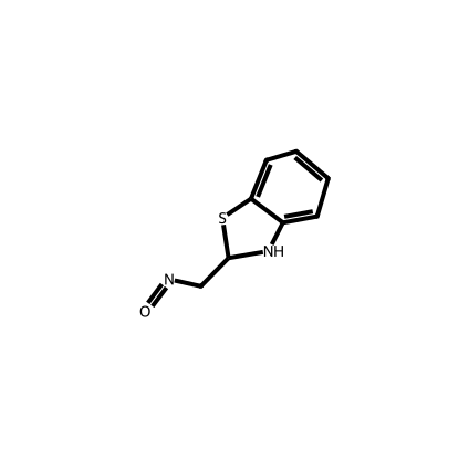 O=NCC1Nc2ccccc2S1